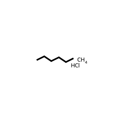 C.CCCCCC.Cl